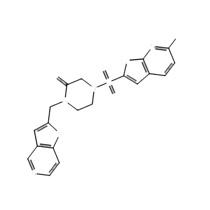 O=C1CN(S(=O)(=O)c2cc3ccc(Cl)nc3s2)CCN1Cc1cc2cnccc2[nH]1